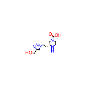 O=C(O)N1CCN[C@H](CCn2cc(CO)nn2)C1